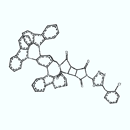 O=C1C2C(C(=O)N1c1nnc(-c3ccccc3Cl)o1)C1C(=O)N(c3cc(-n4c5ccccc5c5ccccc54)c(-n4c5ccccc5c5ccccc54)cc3-n3c4ccccc4c4ccccc43)C(=O)C21